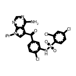 CC(C)n1cc(C(=O)c2ccc(Cl)c(NS(=O)(=O)c3ccc(Cl)cc3Cl)c2)c2c(N)ncnc21